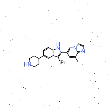 Cc1cc(-c2[nH]c3ccc(C4CCNCC4)cc3c2C(C)C)cn2ccnc12